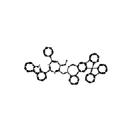 CCC1C=C(c2ccccc2)N=C(c2cccc3c2sc2ccccc23)N=C1CC1CCc2cc3c(cc2-c2ccccc21)C1(c2ccccc2-c2ccccc21)c1ccccc1-3